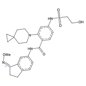 CO/N=C1/CCc2ccc(NC(=O)c3ccc(NS(=O)(=O)CCO)cc3N3CCC4(CC3)CC4)cc21